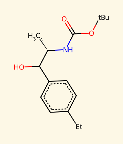 CCc1ccc(C(O)[C@H](C)NC(=O)OC(C)(C)C)cc1